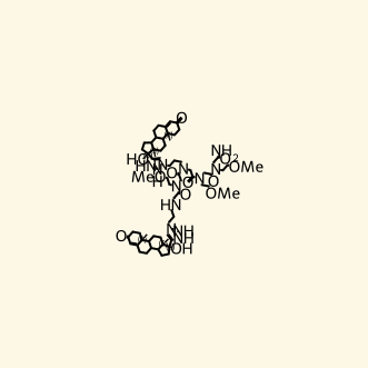 COCCN(CC(N)=O)C(=O)CN(CCOC)C(=O)CN(CCCN1C=C([C@]2(O)CCC3C4CCC5=CC(=O)CC[C@]5(C)C4CC[C@@]32C)NN1)C(=O)CN(CCOC)C(=O)CNCCCN1C=C([C@]2(O)CCC3C4CCC5=CC(=O)CC[C@]5(C)C4CC[C@@]32C)NN1